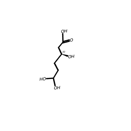 O=C(O)C[C@@H](O)CCC(O)O